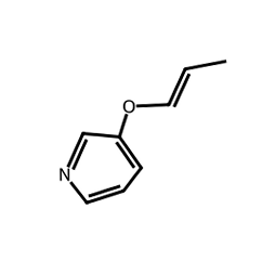 CC=COc1cccnc1